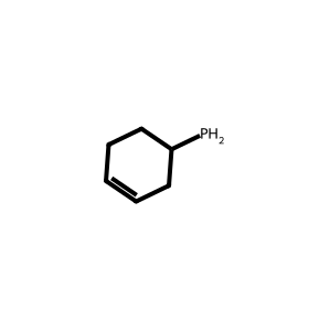 PC1CC=CCC1